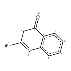 CC(C)C1=Nc2ccccc2C(=O)C1